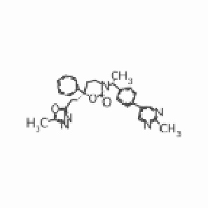 Cc1ncc(-c2ccc([C@H](C)N3CC[C@](CCc4nnc(C)o4)(c4ccccc4)OC3=O)cc2)cn1